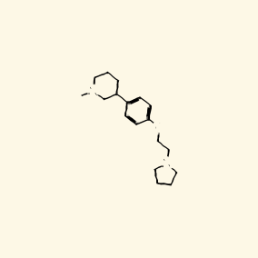 CN1CCCC(c2ccc(OCCN3CCCC3)cc2)C1